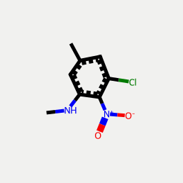 CNc1cc(C)cc(Cl)c1[N+](=O)[O-]